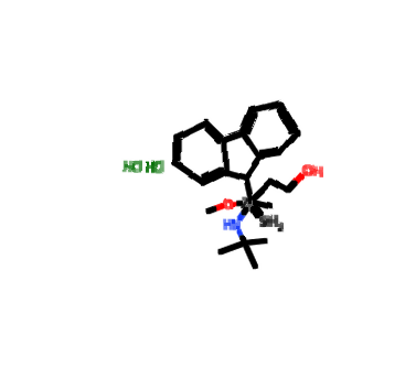 C[O][Zr]([CH3])(=[SiH2])([CH2]CO)([NH]C(C)(C)C)[CH]1c2ccccc2-c2ccccc21.Cl.Cl